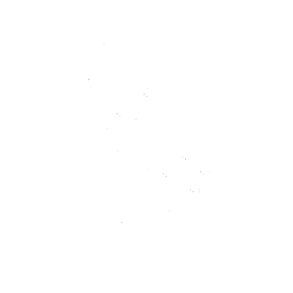 CCCCC(=O)n1c(CF)c(CCCC)n(Cc2ccc(-c3ccccc3-c3nnn[nH]3)cc2)c1=O